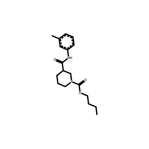 CCCCOC(=O)N1CCCC(C(=O)Nc2cccc(C)c2)C1